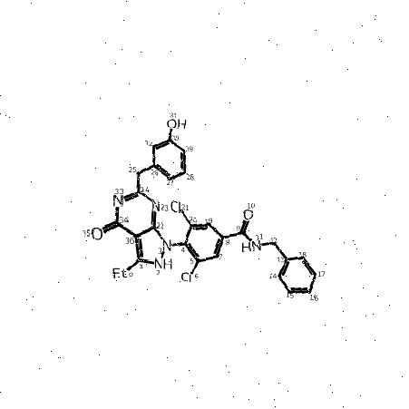 CCc1[nH]n(-c2c(Cl)cc(C(=O)NCc3ccccc3)cc2Cl)c2nc(Cc3cccc(O)c3)nc(=O)c1-2